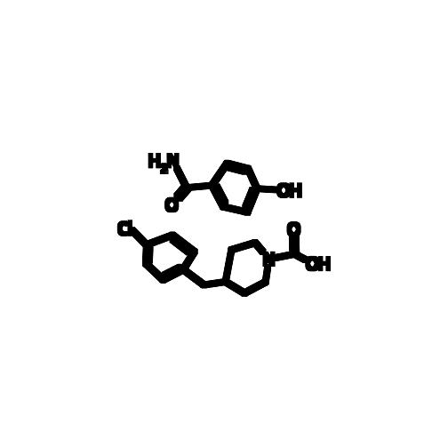 NC(=O)c1ccc(O)cc1.O=C(O)N1CCC(Cc2ccc(Cl)cc2)CC1